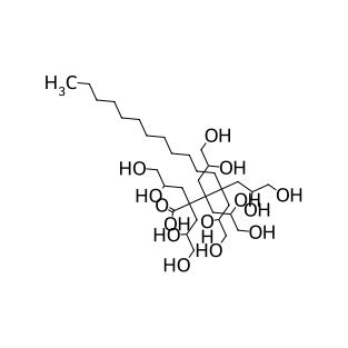 CCCCCCCCCCCCC(CC(O)CO)(CC(O)CO)C(CC(O)CO)(CC(O)CO)C(CC(O)CO)(CC(O)CO)C(=O)O